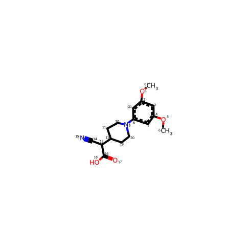 COc1cc(OC)cc(N2CCC(C(C#N)C(=O)O)CC2)c1